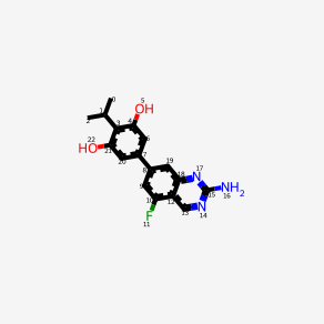 CC(C)c1c(O)cc(-c2cc(F)c3cnc(N)nc3c2)cc1O